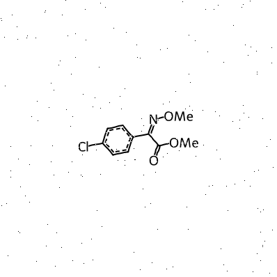 CON=C(C(=O)OC)c1ccc(Cl)cc1